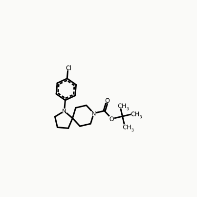 CC(C)(C)OC(=O)N1CCC2(CCCN2c2ccc(Cl)cc2)CC1